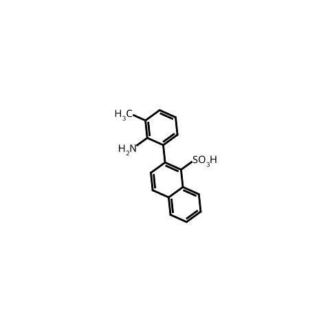 Cc1cccc(-c2ccc3ccccc3c2S(=O)(=O)O)c1N